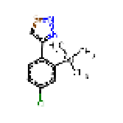 [CH3][Sn]([CH3])([CH3])[c]1cc(Cl)ccc1-c1csnn1